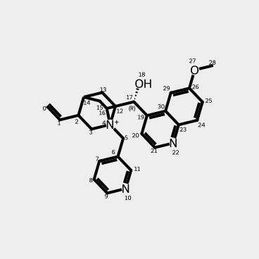 C=CC1C[N+]2(Cc3cccnc3)CCC1CC2[C@H](O)c1ccnc2ccc(OC)cc12